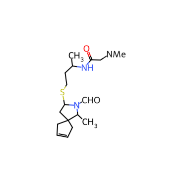 CNCC(=O)NC(C)CCSC1CC2(CC=CC2)C(C)N1C=O